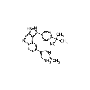 C=C/N=C\C(=C/N)c1ccc2ncc3[nH]nc(-c4ccc(C(C)(C)C#N)cc4)c3c2c1